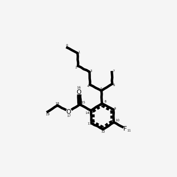 CCCCCC(CC)c1cc(F)ccc1C(=O)OCC